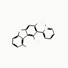 Cc1cc2oc3cccc(C)c3c2c(C#N)c1-c1cccc[n+]1C